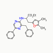 CCOC(=O)C(Cc1cc(C)c(C)o1)Nc1ncc(-c2ccccc2)nc1Cc1ccccc1